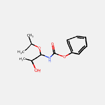 CC(C)OC(NC(=O)Oc1ccccc1)C(C)O